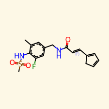 Cc1cc(CNC(=O)/C=C/C2=CC=CC2)cc(F)c1NS(C)(=O)=O